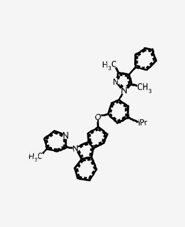 Cc1ccnc(-n2c3ccccc3c3ccc(Oc4cc(C(C)C)cc(-n5nc(C)c(-c6ccccc6)c5C)c4)cc32)c1